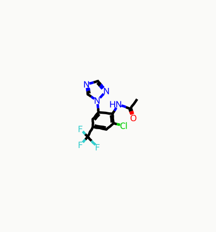 CC(=O)Nc1c(Cl)cc(C(F)(F)F)cc1-n1cncn1